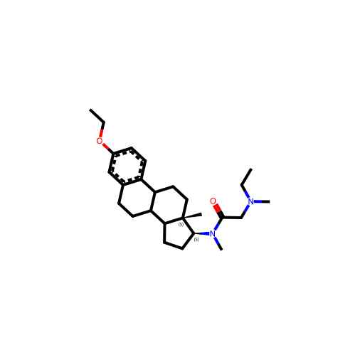 CCOc1ccc2c(c1)CCC1C2CC[C@@]2(C)C1CC[C@@H]2N(C)C(=O)CN(C)CC